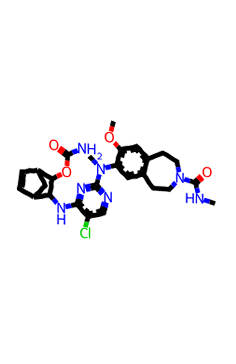 CNC(=O)N1CCc2cc(OC)c(N(C)c3ncc(Cl)c(NC4C5C=CC(C5)C4OC(N)=O)n3)cc2CC1